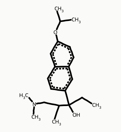 CCC(O)(c1ccc2cc(OC(C)C)ccc2c1)C(C)CN(C)C